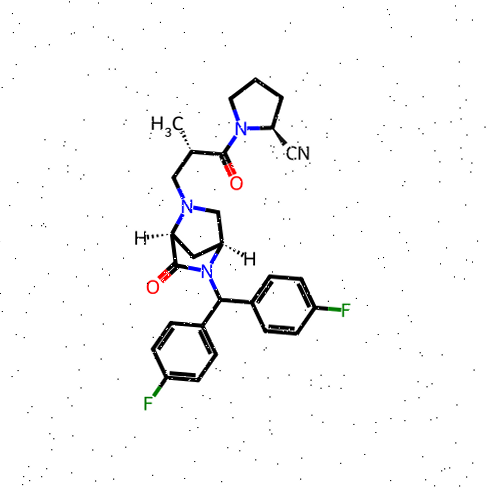 C[C@@H](CN1C[C@@H]2C[C@H]1C(=O)N2C(c1ccc(F)cc1)c1ccc(F)cc1)C(=O)N1CCC[C@H]1C#N